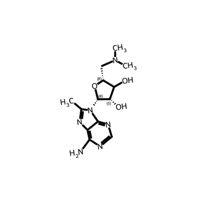 Cc1nc2c(N)ncnc2n1[C@@H]1O[C@H](CN(C)C)C(O)[C@@H]1O